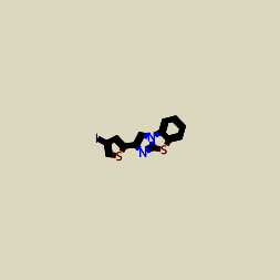 Ic1csc(-c2cn3c(n2)sc2ccccc23)c1